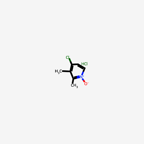 Cc1c(Cl)cc[n+]([O-])c1C.Cl